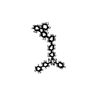 c1ccc(-c2ccc(-c3nc(-c4ccccc4)nc(-c4ccc(-c5ccc(-c6cccc(-c7ccc8c(c7)C7(CCCCC7)c7ccccc7-8)c6)cc5)cc4)n3)cc2)cc1